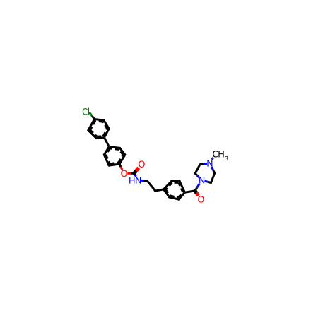 CN1CCN(C(=O)c2ccc(CCNC(=O)Oc3ccc(-c4ccc(Cl)cc4)cc3)cc2)CC1